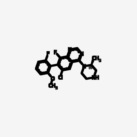 COc1cccc(F)c1-c1c(Cl)cc2c(N3CCNC[C@@H]3C)ncnc2c1F